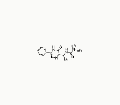 CCCN(CCC)C(=O)NC(CC)c1nnc(-c2ccccc2)[nH]c1=O